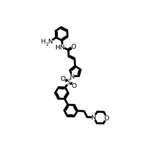 Nc1ccccc1NC(=O)/C=C/c1ccn(S(=O)(=O)c2cccc(-c3cccc(CCN4CCOCC4)c3)c2)c1